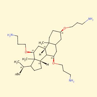 CCCC[C@@H](C)C1CC[C@H]2C3[C@H](OCCCN)CC4C[C@H](OCCCN)CCC4(C)[C@H]3C[C@H](OCCCN)C12C